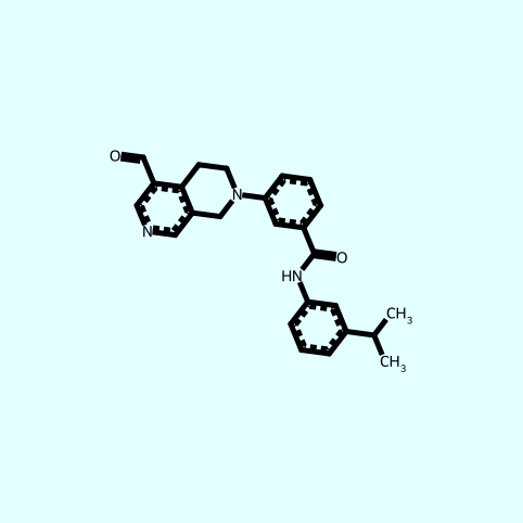 CC(C)c1cccc(NC(=O)c2cccc(N3CCc4c(C=O)cncc4C3)c2)c1